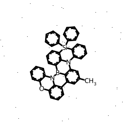 Cc1cc2c3c(c1)N1c4ccccc4[Si](c4ccccc4)(c4ccccc4)c4cccc(c41)B3N1c3ccccc3Oc3cccc-2c31